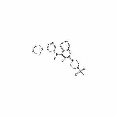 Cc1c(N2CCN(S(C)(=O)=O)CC2)nc2ccccc2c1N(F)c1cncc(N2CCOCC2)c1